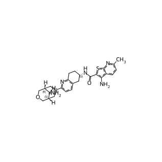 Cc1ccc2c(N)c(C(=O)N[C@H]3CCc4nc(N5C[C@H]6COC[C@@H](C5)[C@H]6N)ccc4C3)sc2n1